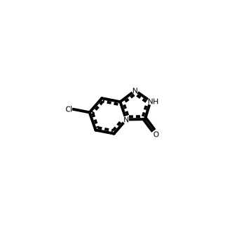 O=c1[nH]nc2cc(Cl)ccn12